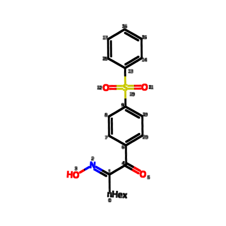 CCCCCCC(=NO)C(=O)c1ccc(S(=O)(=O)c2ccccc2)cc1